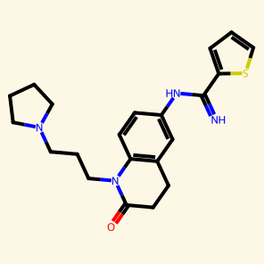 N=C(Nc1ccc2c(c1)CCC(=O)N2CCCN1CCCC1)c1cccs1